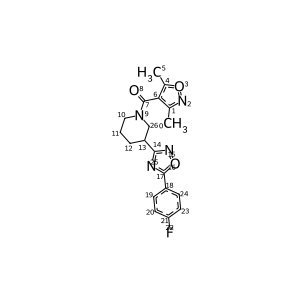 Cc1noc(C)c1C(=O)N1CCCC(c2noc(-c3ccc(F)cc3)n2)C1